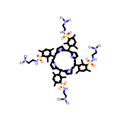 CCN(CC)CCNS(=O)(=O)c1c(C)cc(C)c(-c2c3nc(c(-c4c(C)cc(C)c(S(=O)(=O)NCCN(CC)CC)c4C)c4ccc([nH]4)c(-c4c(C)cc(C)c(S(=O)(=O)NCCN(CC)CC)c4C)c4nc(c(-c5c(C)cc(C)c(S(=O)(=O)NCCN(CC)CC)c5C)c5ccc2[nH]5)C=C4)C=C3)c1C